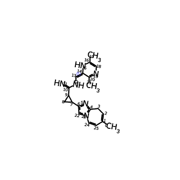 CC1=CCc2nc(C3CC3C(=N)N/C=C3/NC(C)=CN=C3C)cn2C=C1